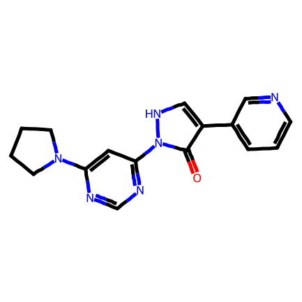 O=c1c(-c2cccnc2)c[nH]n1-c1cc(N2CCCC2)ncn1